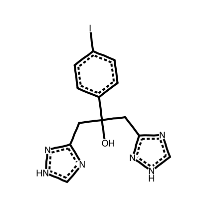 OC(Cc1nc[nH]n1)(Cc1nc[nH]n1)c1ccc(I)cc1